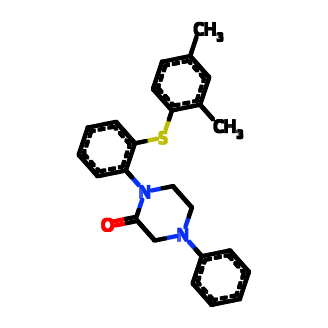 Cc1ccc(Sc2ccccc2N2CCN(c3ccccc3)CC2=O)c(C)c1